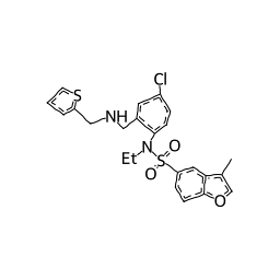 CCN(c1ccc(Cl)cc1CNCc1cccs1)S(=O)(=O)c1ccc2occ(C)c2c1